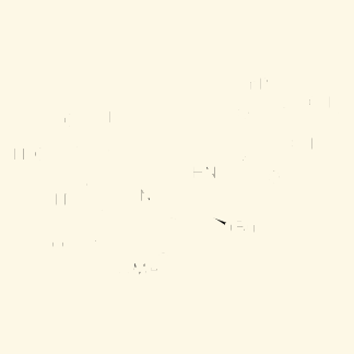 CCCC(C)(C)OC(=O)N[C@H](C(=O)N1C[C@H]2[C@@H]([C@H]1C(=O)OC)C2(C)C)C(C)(C)C